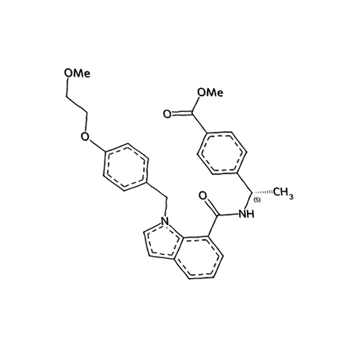 COCCOc1ccc(Cn2ccc3cccc(C(=O)N[C@@H](C)c4ccc(C(=O)OC)cc4)c32)cc1